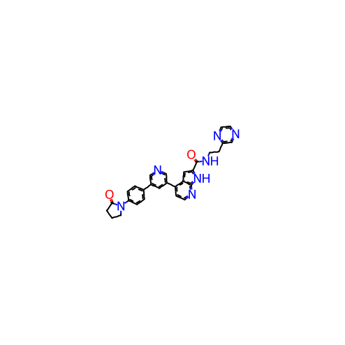 O=C(NCCc1cnccn1)c1cc2c(-c3cncc(-c4ccc(N5CCCC5=O)cc4)c3)ccnc2[nH]1